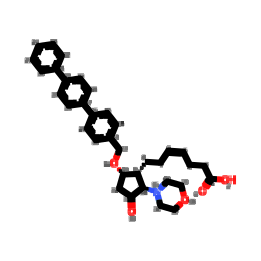 O=C(O)CC/C=C\CC[C@H]1[C@@H](OCc2ccc(-c3ccc(-c4ccccc4)cc3)cc2)CC(=O)[C@@H]1N1CCOCC1